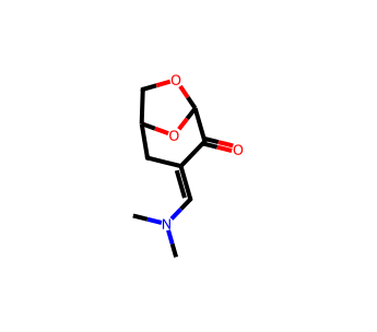 CN(C)/C=C1\CC2COC(O2)C1=O